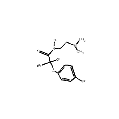 CC(C)c1ccc(OC(C)(C(=O)N(C)CCN(C)C)C(C)C)cc1